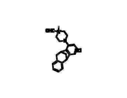 C[N+]1(C=O)CCN(c2cccc3c2C2Cc4ccccc4C3C2)CC1.Cl